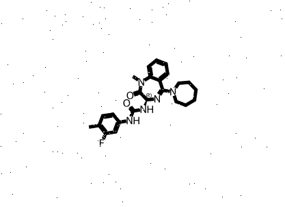 Cc1ccc(NC(=O)N[C@@H]2N=C(N3CCCCCC3)c3ccccc3N(C)C2=O)cc1F